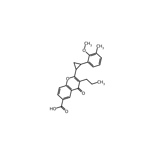 CCCc1c(C2CC2c2cccc(C)c2OC)oc2ccc(C(=O)O)cc2c1=O